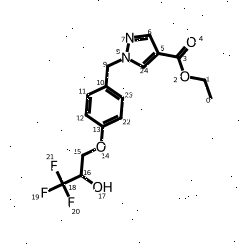 CCOC(=O)c1cnn(Cc2ccc(OCC(O)C(F)(F)F)cc2)c1